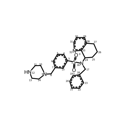 O=S(=O)(c1cccc(CN2CCNCC2)c1)N(Cc1ccccc1)C1CCCc2cccnc21